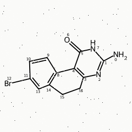 Nc1nc2c(c(=O)[nH]1)-c1ccc(Br)cc1CC2